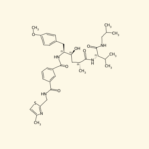 COc1ccc(C[C@H](NC(=O)c2cccc(C(=O)NCc3nc(C)cs3)c2)[C@@H](O)C[C@@H](C)C(=O)N[C@H](C(=O)NCC(C)C)C(C)C)cc1